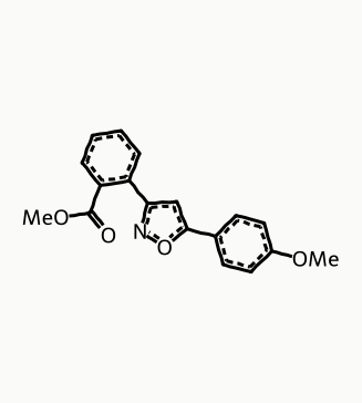 COC(=O)c1ccccc1-c1cc(-c2ccc(OC)cc2)on1